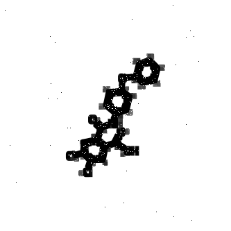 O=C(O)c1cc(Cl)c(Cl)cc1C(=O)Nc1ccc(Oc2ccccc2)cc1